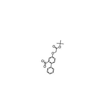 CC(C)(C)OC(=O)COc1ccc(-c2ccccc2)c([N+](=O)[O-])c1